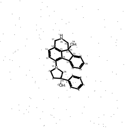 O[C@]1(c2ccccc2)CCN(c2ccc3c4c2-c2ccccc2[C@@]4(O)CNC3)C1